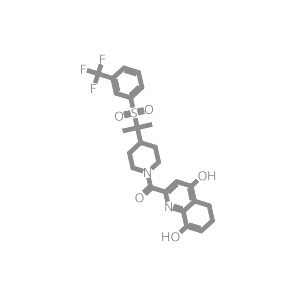 CC(C)(C1CCN(C(=O)c2cc(O)c3c(n2)C(O)=CCC3)CC1)S(=O)(=O)c1cccc(C(F)(F)F)c1